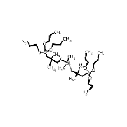 CCCO[Si](CC(C)(C)C[S][Sn]([CH3])([CH3])[S]CC(C)(C)C[Si](OCCC)(OCCC)OCCC)(OCCC)OCCC